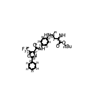 C[C@@H](CC(=N)C(=O)OC(C)(C)C)Nc1ccc(NC(=O)c2nc(-c3ccccc3)oc2C(F)(F)F)cc1